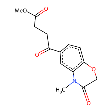 COC(=O)CCC(=O)c1ccc2c(c1)N(C)C(=O)CO2